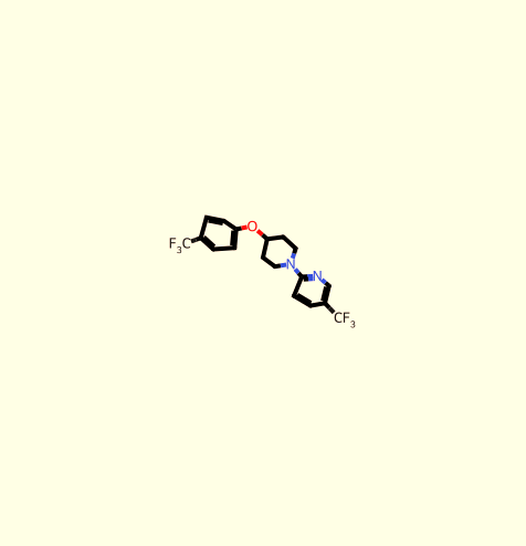 FC(F)(F)c1ccc(OC2CCN(c3ccc(C(F)(F)F)cn3)CC2)cc1